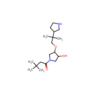 CC(C)(C)CC(=O)N1CC(O)C(OCC(C)(C)C2CCNC2)C1